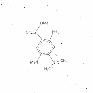 CNc1cc(C(=O)OC)c(N)cc1N(C)C